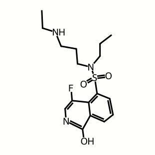 CCCN(CCCNCC)S(=O)(=O)c1cccc2c(O)ncc(F)c12